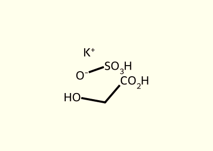 O=C(O)CO.O=S(=O)([O-])O.[K+]